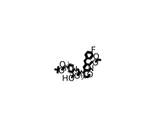 CC(=O)OCc1nc2c(cc1Cc1ccc(F)cc1)N(C(=O)CN1C[C@@H](C)N(C(=O)OC(C)(C)C)C[C@@H]1CO)[C@@H](C)CO2